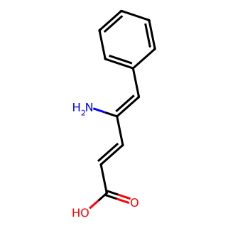 NC(C=CC(=O)O)=Cc1ccccc1